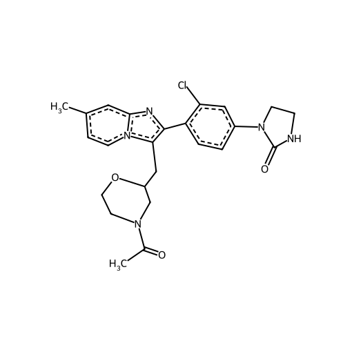 CC(=O)N1CCOC(Cc2c(-c3ccc(N4CCNC4=O)cc3Cl)nc3cc(C)ccn23)C1